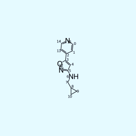 c1cc(-c2cc(NCC3CC3)no2)ccn1